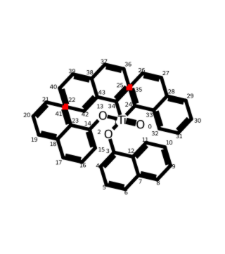 [O]=[Ti]([O]c1cccc2ccccc12)([O]c1cccc2ccccc12)([c]1cccc2ccccc12)[c]1cccc2ccccc12